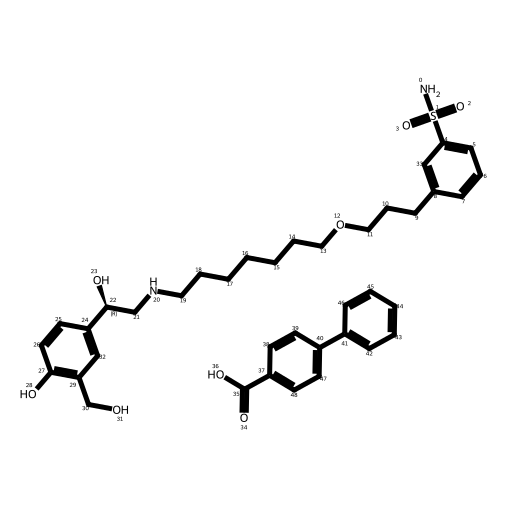 NS(=O)(=O)c1cccc(CCCOCCCCCCCNC[C@H](O)c2ccc(O)c(CO)c2)c1.O=C(O)c1ccc(-c2ccccc2)cc1